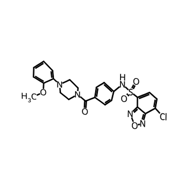 COc1ccccc1N1CCN(C(=O)c2ccc(NS(=O)(=O)c3ccc(Cl)c4nonc34)cc2)CC1